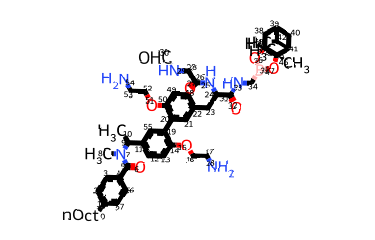 CCCCCCCCc1ccc(C(=O)N(C)C(C)c2ccc(OCCN)c(-c3cc(CC(NC(=O)CNC=O)C(=O)NCB4O[C@@H]5CC6CC(C6(C)C)[C@]5(C)O4)ccc3OCCN)c2)cc1